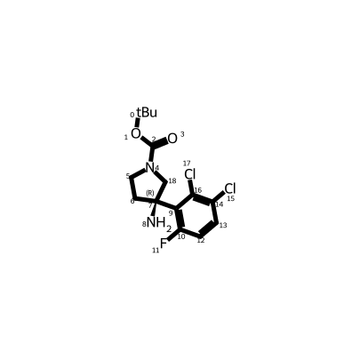 CC(C)(C)OC(=O)N1CC[C@@](N)(c2c(F)ccc(Cl)c2Cl)C1